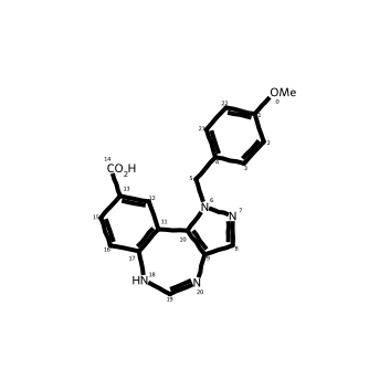 COc1ccc(Cn2ncc3c2-c2cc(C(=O)O)ccc2NC=N3)cc1